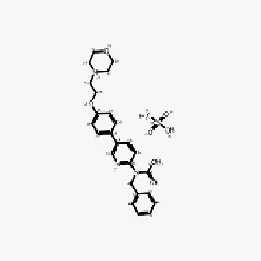 CC(=O)N(Cc1ccccc1)c1ccc(-c2ccc(OCCN3CCOCC3)cc2)cn1.CS(=O)(=O)O